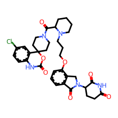 O=C1CCC(N2Cc3c(OCCCN4CCCCC4C(=O)N4CCC5(CC4)OC(=O)Nc4ccc(Cl)cc45)cccc3C2=O)C(=O)N1